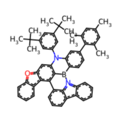 Cc1cc(C)c(-c2ccc3c(c2)N(c2cc(C(C)(C)C)cc(C(C)(C)C)c2)c2cc4oc5ccccc5c4c4c2B3n2c3ccccc3c3cccc-4c32)c(C)c1